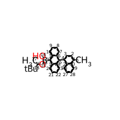 Cc1ccc(-c2c3ccccc3c(B(O)OC(C)C(C)(C)C)c3ccccc23)c2ccccc12